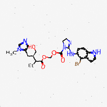 CCC(C(=O)OCOC(=O)N1CCN=C1Nc1ccc2[nH]ccc2c1Br)[C@H](CO)Cc1cncn1C